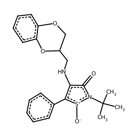 CC(C)(C)n1c(=O)c(NCC2COc3ccccc3O2)c(-c2ccccc2)[s+]1[O-]